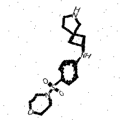 O=S(=O)(c1ccc(NC2CC3(CCNC3)C2)cc1)N1CCOCC1